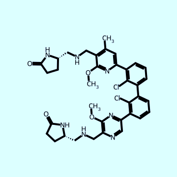 COc1nc(-c2cccc(-c3cccc(-c4cc(C)c(CNC[C@@H]5CCC(=O)N5)c(OC)n4)c3Cl)c2Cl)cnc1CNC[C@@H]1CCC(=O)N1